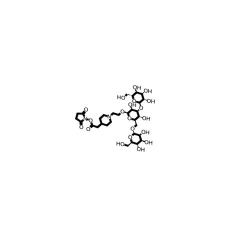 O=C(CC1CCN(CCO[C@@H]2O[C@H](CO[C@H]3O[C@H](CO)[C@@H](O)[C@H](O)[C@@H]3O)[C@@H](O)[C@H](O[C@H]3O[C@H](CO)[C@@H](O)[C@H](O)[C@@H]3O)[C@@H]2O)CC1)ON1C(=O)CCC1=O